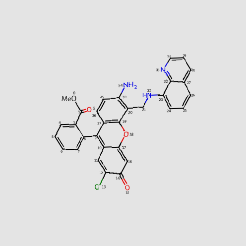 COC(=O)c1ccccc1-c1c2cc(Cl)c(=O)cc-2oc2c(CNc3cccc4cccnc34)c(N)ccc12